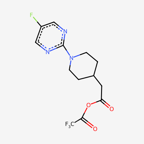 O=C(CC1CCN(c2ncc(F)cn2)CC1)OC(=O)C(F)(F)F